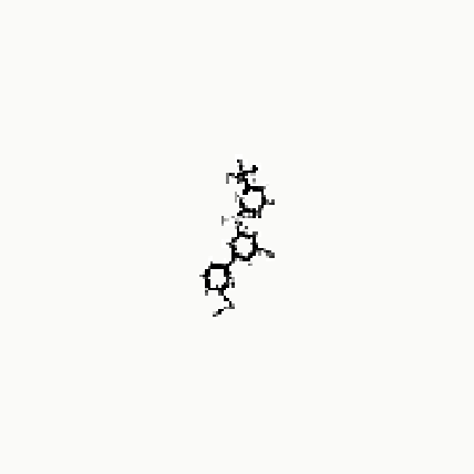 COc1cccc(-c2cc(C)cc(Nc3nccc(C(F)(F)F)n3)c2)n1